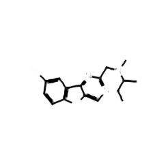 CCC(C)N(C)Cc1ncc2oc3ccc(Br)cc3c2n1